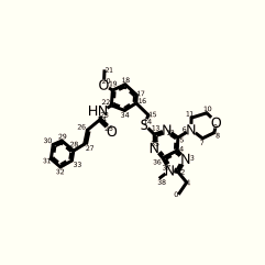 CCc1nc2c(N3CCOCC3)nc(SCc3ccc(OC)c(NC(=O)C=Cc4ccccc4)c3)nc2n1C